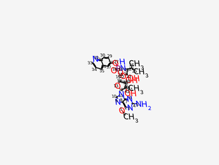 COc1nc(N)nc2c1ncn2C1O[C@H](COP(=O)(NC(C(=O)O)C(C)C)Oc2ccc3ncccc3c2)[C@@H](O)[C@@]1(C)O